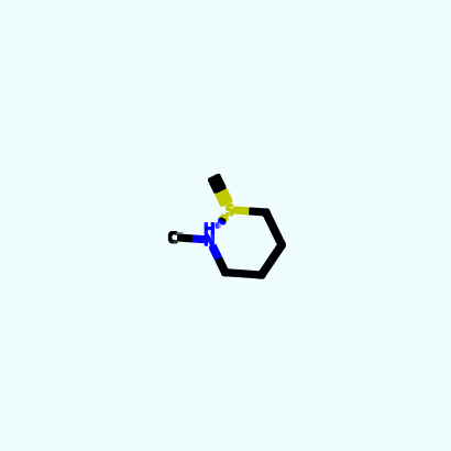 C=S1CCCC[NH+]1[CH2-]